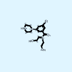 CCc1cc(C(=O)N(CCO)CCO)cc(N2CCNCC2)c1